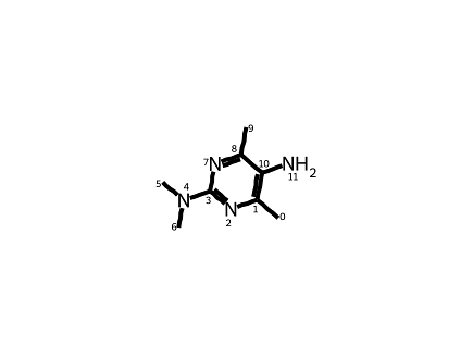 Cc1nc(N(C)C)nc(C)c1N